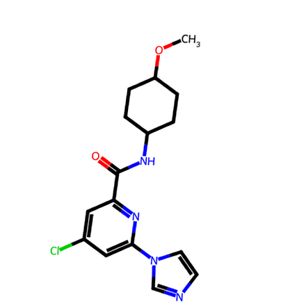 COC1CCC(NC(=O)c2cc(Cl)cc(-n3ccnc3)n2)CC1